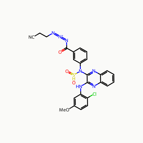 COc1ccc(Cl)c(Nc2nc3ccccc3nc2N(c2cccc(C(=O)N=[N+]=NCCC#N)c2)[SH](=O)=O)c1